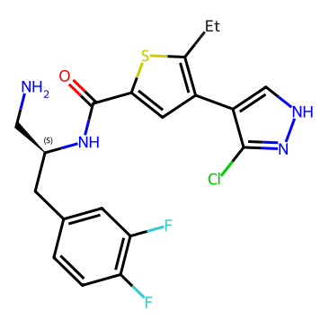 CCc1sc(C(=O)N[C@H](CN)Cc2ccc(F)c(F)c2)cc1-c1c[nH]nc1Cl